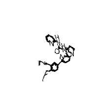 N#Cc1cc(-c2ccc3c(n2)N(C(=O)Nc2ccccn2)[C@H]2CCN3C2)ccc1F